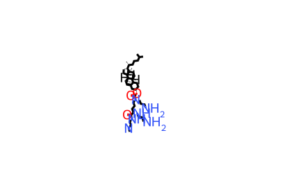 CC(C)CCC[C@@H](C)[C@H]1CC[C@H]2[C@@H]3CC=C4C[C@@H](OC(=O)N(CCCN)CCCC(NCCCN)C(=O)NCCN(C)C)CC[C@]4(C)[C@H]3CC[C@]12C